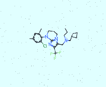 CCCN(Cc1c(C(F)(F)F)nc2n1CCCN2c1c(C)cc(C)cc1Cl)CC1CCC1